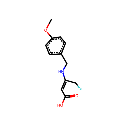 COc1ccc(CNC(=CC(=O)O)CF)cc1